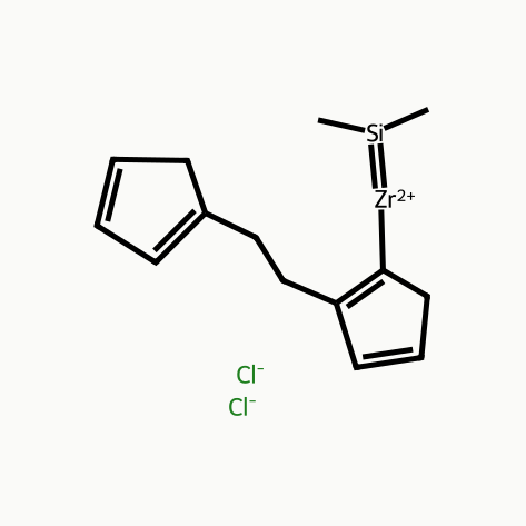 C[Si](C)=[Zr+2][C]1=C(CCC2=CC=CC2)C=CC1.[Cl-].[Cl-]